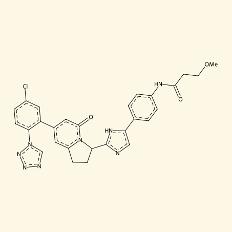 COCCC(=O)Nc1ccc(-c2cnc(C3CCc4cc(-c5cc(Cl)ccc5-n5cnnn5)cc(=O)n43)[nH]2)cc1